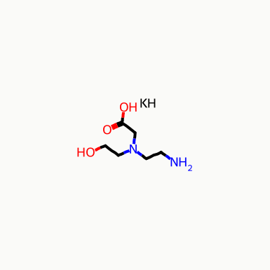 NCCN(CCO)CC(=O)O.[KH]